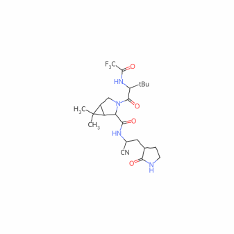 CC(C)(C)C(NC(=O)C(F)(F)F)C(=O)N1CC2C(C1C(=O)NC(C#N)CC1CCNC1=O)C2(C)C